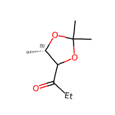 CCC(=O)C1OC(C)(C)O[C@H]1C